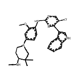 CNC1CCN(c2ccc(Nc3ncc(Cl)c(-c4c[nH]c5ccccc45)n3)c(OC)c2)CC1(C)C